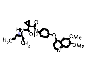 C=C/C=C(\C=C)NC(=O)C1(C(=O)Nc2ccc(Oc3ccnc4cc(OC)c(OC)cc34)cc2)CC1